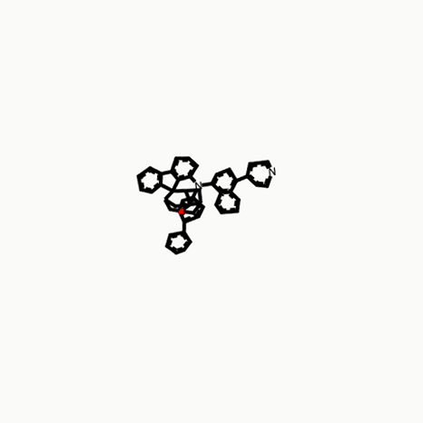 c1ccc(-c2ccc(N(c3cccc4c3C3(c5ccccc5-4)C4CC5CC(C4)CC3C5)c3ccc(-c4ccncc4)c4ccccc34)cc2)cc1